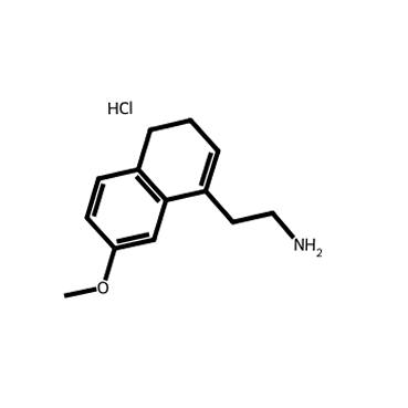 COc1ccc2c(c1)C(CCN)=CCC2.Cl